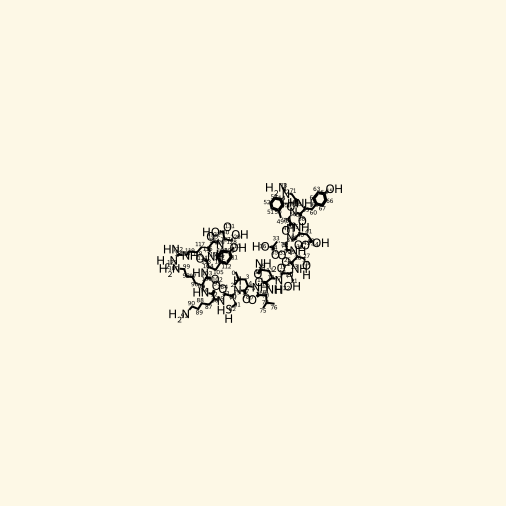 CC(C)CC(NC(=O)[C@@H](NC(=O)C(CC(N)=O)NC(=O)[C@H](CO)NC(=O)C(CO)NC(=O)[C@H](CC(=O)O)NC(=O)C(CC(=O)O)NC(=O)[C@H](Cc1ccccc1)NC(=O)C(Cc1ccc(O)cc1)NC(=O)CNN)C(C)C)C(=O)N[C@@H](CS)C(=O)NC(CCCCN)C(=O)N[C@@H](CCCCN)C(=O)NC(Cc1ccc(O)cc1)C(=O)N[C@@H](CCCNC(=N)N)C(=O)NC(CO)C(=O)O